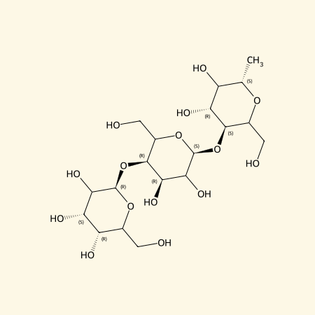 C[C@@H]1OC(CO)[C@@H](O[C@@H]2OC(CO)[C@H](O[C@H]3OC(CO)[C@H](O)[C@H](O)C3O)[C@H](O)C2O)[C@H](O)C1O